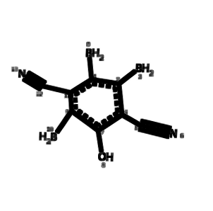 Bc1c(B)c(C#N)c(O)c(B)c1C#N